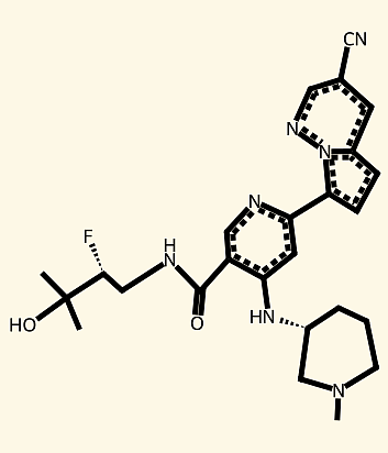 CN1CCC[C@@H](Nc2cc(-c3ccc4cc(C#N)cnn34)ncc2C(=O)NC[C@@H](F)C(C)(C)O)C1